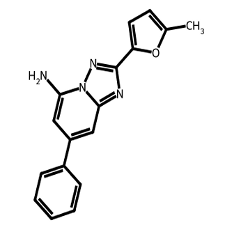 Cc1ccc(-c2nc3cc(-c4ccccc4)cc(N)n3n2)o1